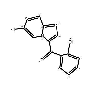 O=C(c1ccccc1O)c1cnc2ccc(I)cn12